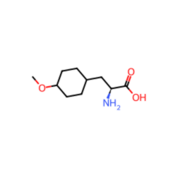 COC1CCC(C[C@H](N)C(=O)O)CC1